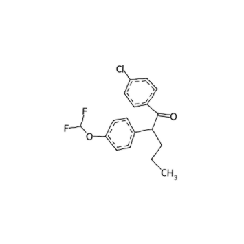 CCCC(C(=O)c1ccc(Cl)cc1)c1ccc(OC(F)F)cc1